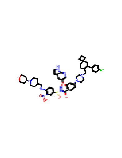 O=C(N[S+]([O-])c1ccc(NCC2CCN(C3CCOCC3)CC2)c([N+](=O)[O-])c1)c1ccc(N2CCN(CC3=C(c4ccc(Cl)cc4)CC4(CCC4)CC3)CC2)cc1Oc1cnc2[nH]ccc2c1